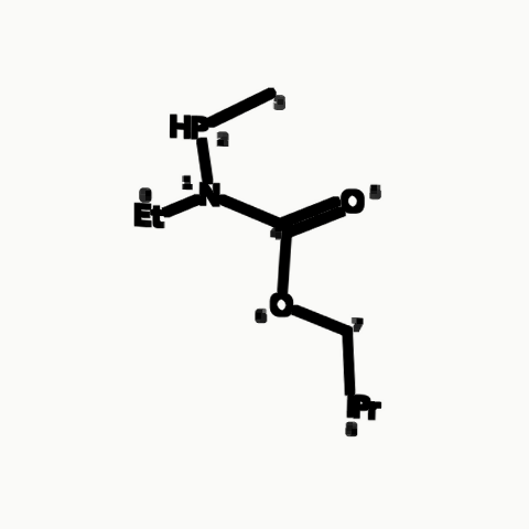 CCN(PC)C(=O)OCC(C)C